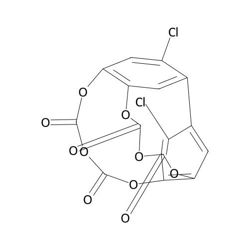 O=C1OC(=O)Oc2cc3c(Cl)cc2oc(=O)oc(=O)oc2cc(Cl)c3cc2O1